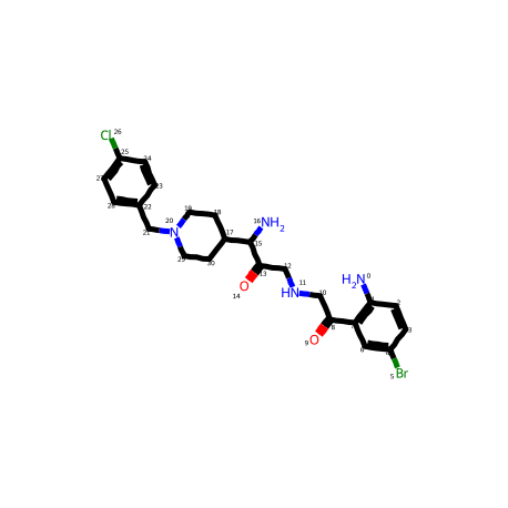 Nc1ccc(Br)cc1C(=O)CNCC(=O)C(N)C1CCN(Cc2ccc(Cl)cc2)CC1